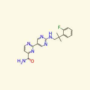 CC(C)(CNc1ncc(-c2nccc(C(N)=O)n2)cn1)c1ccccc1F